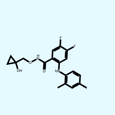 Cc1cc(I)ccc1Nc1cc(F)c(F)cc1C(=O)NOCC1(O)CC1